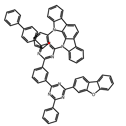 c1ccc(-c2ccc(-c3nc(-c4cccc(-c5nc(-c6ccccc6)nc(-c6ccc7c(c6)oc6ccccc67)n5)c4)nc(-n4c5ccccc5c5ccc6c7ccccc7n(-c7ccccc7)c6c54)n3)cc2)cc1